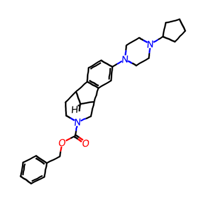 C[C@H]1C2CCN(C(=O)OCc3ccccc3)CC1c1cc(N3CCN(C4CCCC4)CC3)ccc12